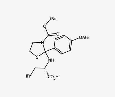 COc1ccc(C2(N[C@@H](CC(C)C)C(=O)O)SCCN2C(=O)OC(C)(C)C)cc1